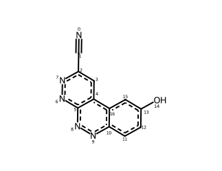 N#Cc1cc2c(nn1)nnc1ccc(O)cc12